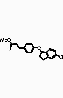 COC(=O)CCc1ccc(OC2CCc3cc(Cl)ccc32)cc1